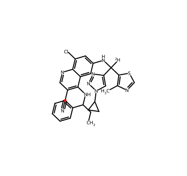 [2H]C(Nc1cc(Cl)c2ncc(C#N)c(NC(CC)c3ccccc3)c2c1)(c1cn(C2CC2)nn1)c1scnc1C